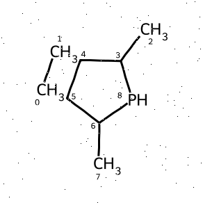 CC.CC1CCC(C)P1